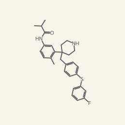 Cc1ccc(NC(=O)C(C)C)cc1C1(Cc2ccc(Sc3cccc(F)c3)cc2)CCNCC1